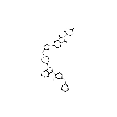 Nc1ncnc2c1c(-c1ccc(Oc3ccccc3)cc1)nn2C1CCN(Cc2ccn(-c3ccc4c(c3)C(=O)N(C3CCC(=O)NC3=O)C4=O)c2)CC1